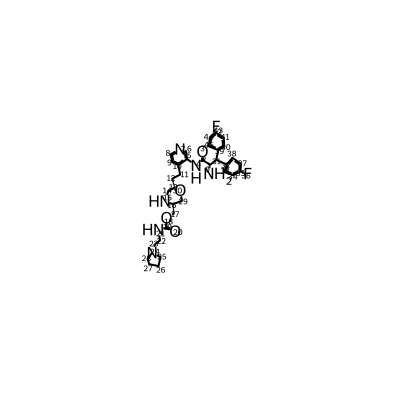 N[C@H](C(=O)Nc1cnccc1CC[C@@H]1CN[C@H](COC(=O)NCCN2CCCC2)CO1)C(c1ccc(F)cc1)c1ccc(F)cc1